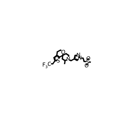 CC1CC2(CCN1Cc1cnn(CCS(C)(=O)=O)c1)OCCc1cc(CC(F)(F)F)sc12